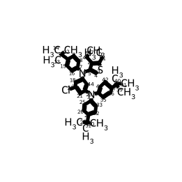 CCc1scc(N(c2ccc(C(C)(C)C)cc2)c2cc(Cl)cc(N(c3ccc(C(C)(C)C)cc3)c3ccc(C(C)(C)C)cc3)c2)c1CC